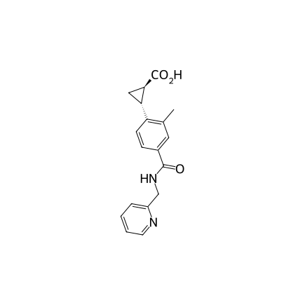 Cc1cc(C(=O)NCc2ccccn2)ccc1[C@@H]1C[C@H]1C(=O)O